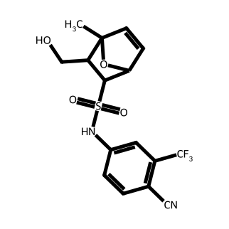 CC12C=CC(O1)C(S(=O)(=O)Nc1ccc(C#N)c(C(F)(F)F)c1)C2CO